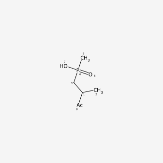 CC(=O)C(C)CP(C)(=O)O